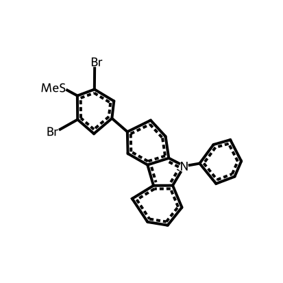 CSc1c(Br)cc(-c2ccc3c(c2)c2ccccc2n3-c2ccccc2)cc1Br